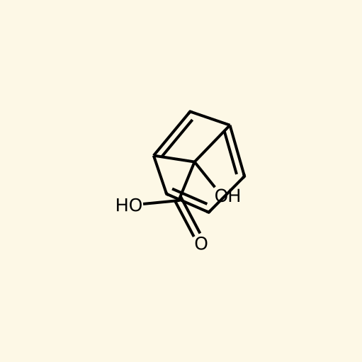 O=C(O)C1(O)c2cccc1c2